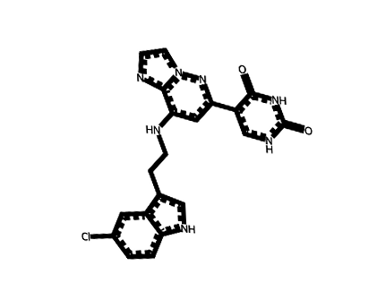 O=c1[nH]cc(-c2cc(NCCc3c[nH]c4ccc(Cl)cc34)c3nccn3n2)c(=O)[nH]1